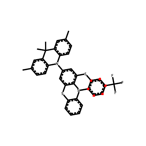 Cc1ccc2c(c1)C(C)(C)c1cc(C)ccc1N2c1cc2c3c(c1)Sc1ccccc1[Si]3(c1ccc(C(F)(F)F)cc1)c1ccccc1S2